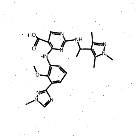 COc1c(Nc2nc(NC(C)c3c(C)nn(C)c3C)ncc2C(=O)O)cccc1-c1ncn(C)n1